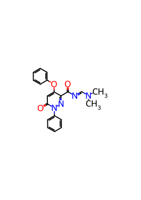 CN(C)/C=N/C(=O)c1nn(-c2ccccc2)c(=O)cc1Oc1ccccc1